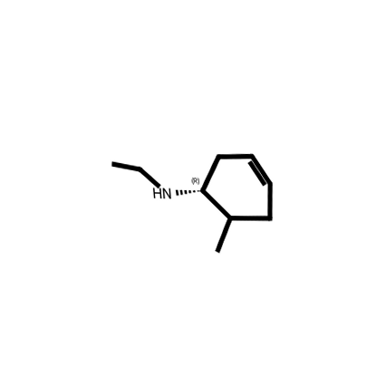 CCN[C@@H]1CC=CCC1C